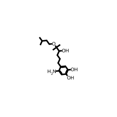 CC(C)CCOC(C)(C)C(O)CCCc1cc(O)c(O)cc1N